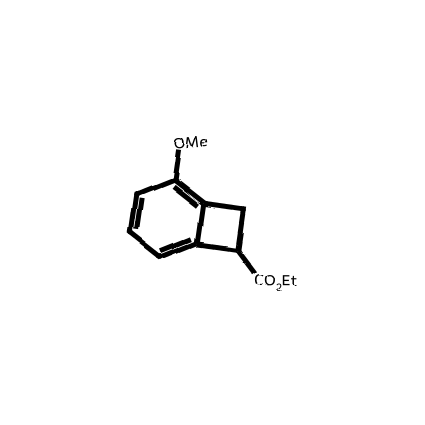 CCOC(=O)C1Cc2c(OC)cccc21